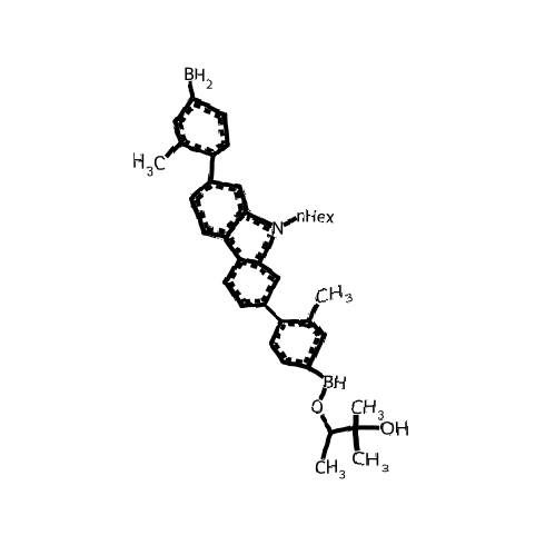 Bc1ccc(-c2ccc3c4ccc(-c5ccc(BOC(C)C(C)(C)O)cc5C)cc4n(CCCCCC)c3c2)c(C)c1